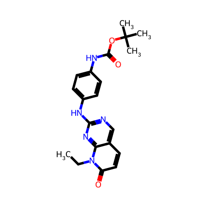 CCn1c(=O)ccc2cnc(Nc3ccc(NC(=O)OC(C)(C)C)cc3)nc21